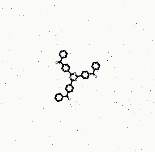 O=C(c1ccccc1)c1ccc(-c2nc(-c3ccc(C(=O)c4ccccc4)cc3)nc(-c3ccc(C(=O)c4ccccc4)cc3)n2)cc1